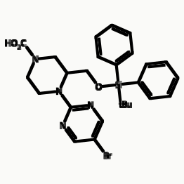 CC(C)(C)[Si](OCC1CN(C(=O)O)CCN1c1ncc(Br)cn1)(c1ccccc1)c1ccccc1